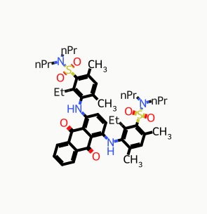 CCCN(CCC)S(=O)(=O)c1c(C)cc(C)c(Nc2ccc(Nc3c(C)cc(C)c(S(=O)(=O)N(CCC)CCC)c3CC)c3c2C(=O)c2ccccc2C3=O)c1CC